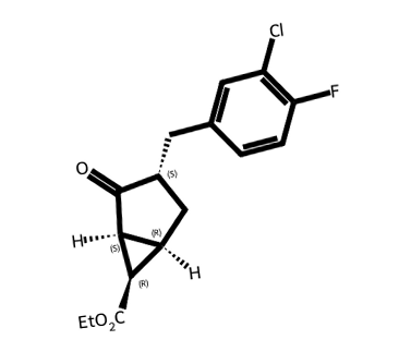 CCOC(=O)[C@@H]1[C@@H]2C[C@@H](Cc3ccc(F)c(Cl)c3)C(=O)[C@@H]21